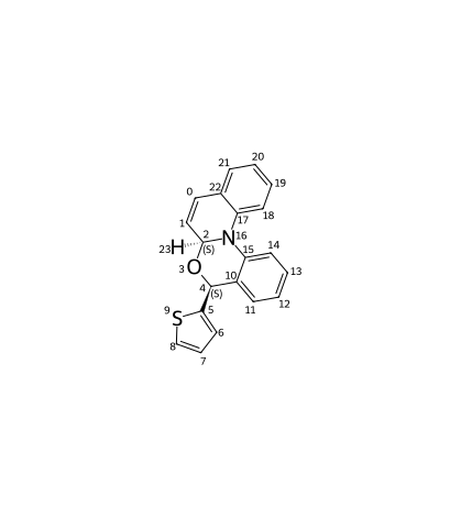 C1=C[C@@H]2O[C@H](c3cccs3)c3ccccc3N2c2ccccc21